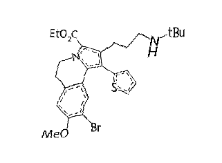 CCOC(=O)c1c(CCCNC(C)(C)C)c(-c2cccs2)c2n1CCc1cc(OC)c(Br)cc1-2